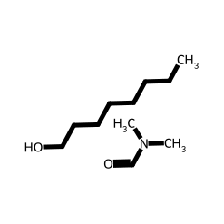 CCCCCCCCO.CN(C)C=O